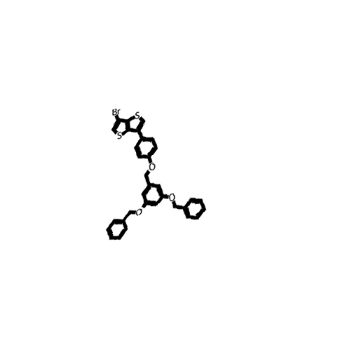 Brc1csc2c(-c3ccc(OCc4cc(OCc5ccccc5)cc(OCc5ccccc5)c4)cc3)csc12